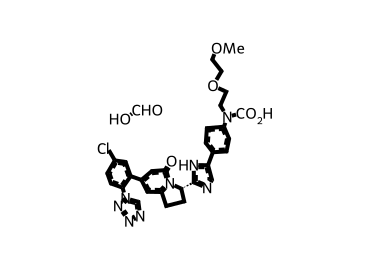 COCCOCCN(C(=O)O)c1ccc(-c2cnc([C@@H]3CCc4cc(-c5cc(Cl)ccc5-n5cnnn5)cc(=O)n43)[nH]2)cc1.O=CO